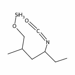 CCC(CC(C)CO[SiH3])N=C=O